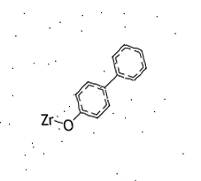 [Zr][O]c1ccc(-c2ccccc2)cc1